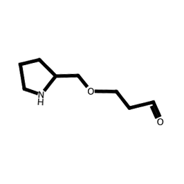 O=CCCOCC1CCCN1